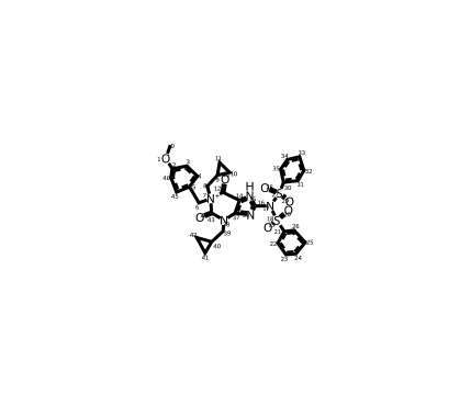 COc1ccc(C[N+]2(CC3CC3)C(=O)c3[nH]c(N(S(=O)(=O)c4ccccc4)S(=O)(=O)c4ccccc4)nc3N(CC3CC3)C2=O)cc1